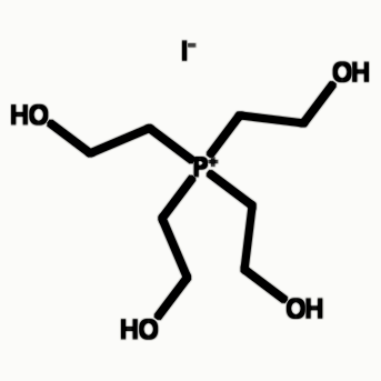 OCC[P+](CCO)(CCO)CCO.[I-]